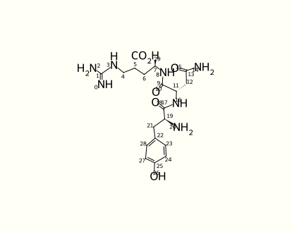 N=C(N)NCCC[C@H](NC(=O)[C@H](CC(N)=O)NC(=O)[C@@H](N)Cc1ccc(O)cc1)C(=O)O